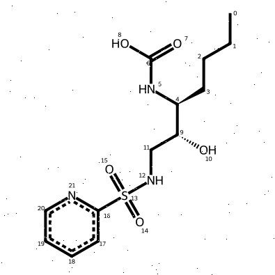 CCCC[C@H](NC(=O)O)[C@H](O)CNS(=O)(=O)c1ccccn1